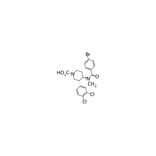 CN(C(=O)c1ccc(Br)cc1)[C@@H]1CCN(C(=O)O)C[C@H]1c1ccc(Cl)c(Cl)c1